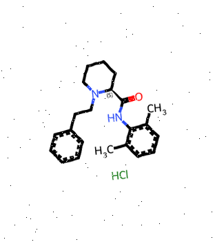 Cc1cccc(C)c1NC(=O)[C@@H]1CCCCN1CCc1ccccc1.Cl